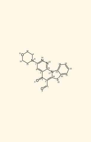 O=Cc1c(=O)c2cc(N3CCOCC3)nnc2n2c1sc1ccccc12